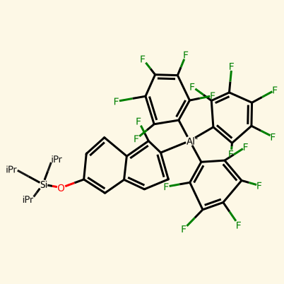 CC(C)[Si](Oc1ccc2c(F)[c]([Al-]([c]3c(F)c(F)c(F)c(F)c3F)([c]3c(F)c(F)c(F)c(F)c3F)[c]3c(F)c(F)c(F)c(F)c3F)ccc2c1)(C(C)C)C(C)C